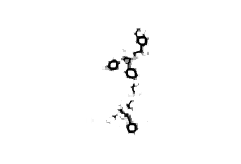 CC(C)(c1ccccc1)[C@@H](NC(=O)CNC(=O)COc1ccc([C@@H]2[C@@H](SCC(O)c3ccc4c(c3)CCO4)C(=O)N2c2ccc(F)cc2)cc1)C(=O)NCC(=O)O